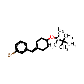 CC(C)(C)[Si](C)(C)OC1CCC(=Cc2cccc(Br)c2)CC1